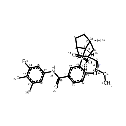 CO/N=C/[C@]1(O)CC2CC[C@@H](C1)[C@H]2S(=O)(=O)c1cc(C(=O)Nc2cc(F)c(F)c(F)c2)ccc1Cl